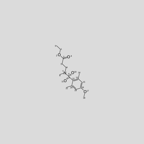 CCOC(=O)CCN(C)S(=O)(=O)c1c(C)cc(OC)cc1C